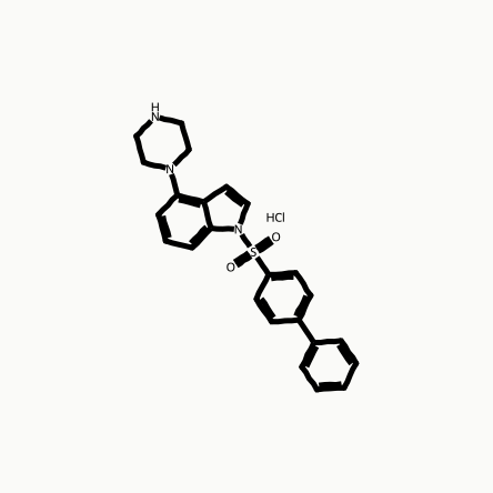 Cl.O=S(=O)(c1ccc(-c2ccccc2)cc1)n1ccc2c(N3CCNCC3)cccc21